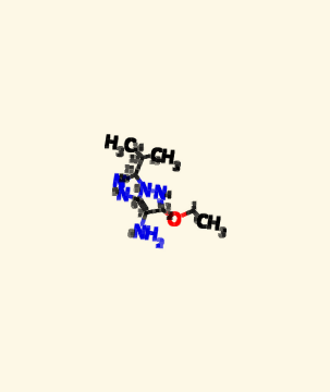 CCOc1nn2c(c1N)N=NC2C(C)C